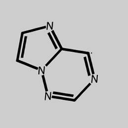 [c]1ncnn2ccnc12